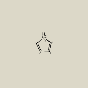 C1=C[SeH2]C=C1